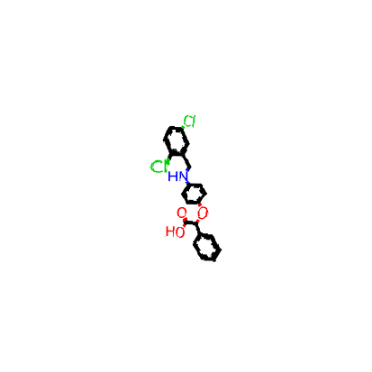 O=C(O)C(Oc1ccc(NCc2cc(Cl)ccc2Cl)cc1)c1ccccc1